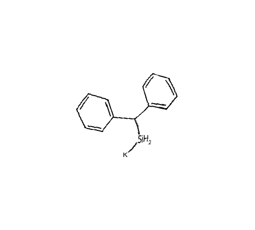 [K][SiH2]C(c1ccccc1)c1ccccc1